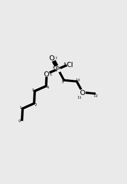 CCCCCOP(=O)(Cl)CCOC